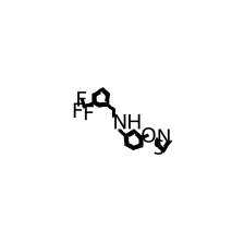 FC(F)(F)c1cccc(CCNCc2cccc(Oc3nccs3)c2)c1